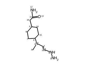 CN(/C=N/NN)C1CCC(CC(N)=O)CC1